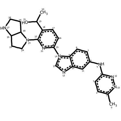 Cc1ccc(Nc2ccc3c(c2)ncn3-c2ccc(C(C)O)c(N3CCC4NCCC43)n2)nn1